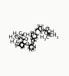 CC(C)N(C(=O)c1cc(F)ccc1Oc1cncnc1N1CC2(CCN(C[C@H]3CCN(C(=O)OC(C)(C)C)C3)CC2)C1)C(C)C